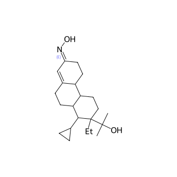 CCC1(C(C)(C)O)CCC2C3CC/C(=N\O)C=C3CCC2C1C1CC1